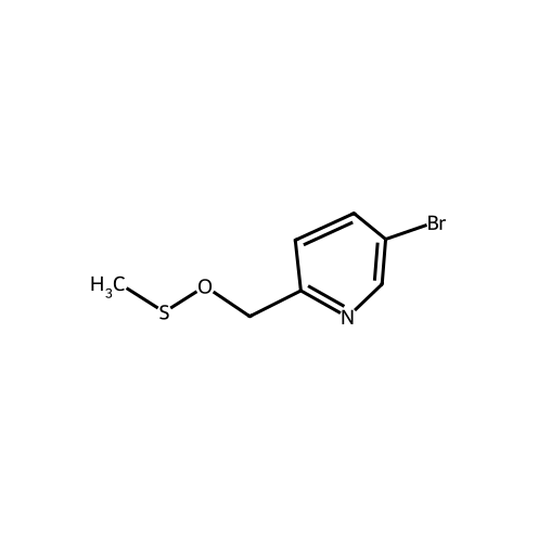 CSOCc1ccc(Br)cn1